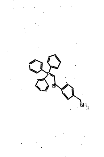 BCc1ccc(C(=O)C=P(c2ccccc2)(c2ccccc2)c2ccccc2)cc1